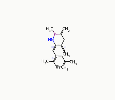 C=C(C)CC(/C=C1/NP(C)C(=C)C/C1=C/C)=C(/C)C(C)C